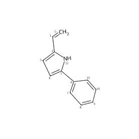 C=[C]c1ccc(-c2ccccc2)[nH]1